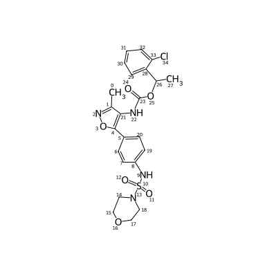 Cc1noc(-c2ccc(NS(=O)(=O)N3CCOCC3)cc2)c1NC(=O)OC(C)c1ccccc1Cl